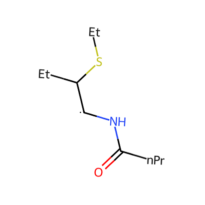 CCCC(=O)N[CH]C(CC)SCC